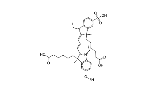 CCN1/C(=C/C=C/C2=[N+](CC)c3ccc(OS)cc3C2(C)CCCCCC(=O)O)C(C)(CCCCCC(=O)O)c2cc(S(=O)(=O)O)ccc21